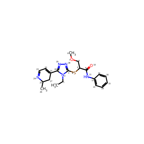 CCn1c(SC(COC)C(=O)Nc2ccccc2)nnc1C1=CC=NC(C)C1